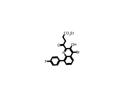 CCOC(=O)CCC(=O)c1nc2c(-c3ccc(F)cc3)cccc2c(Br)c1O